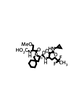 COCC(NC(=O)O)C(=O)N1CC2(CCCCC2)C[C@H]1C(=O)NC(CCC(C)(F)F)C(=O)C(=O)NC1CC1